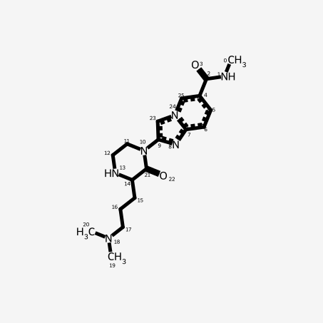 CNC(=O)c1ccc2nc(N3CCNC(CCCN(C)C)C3=O)cn2c1